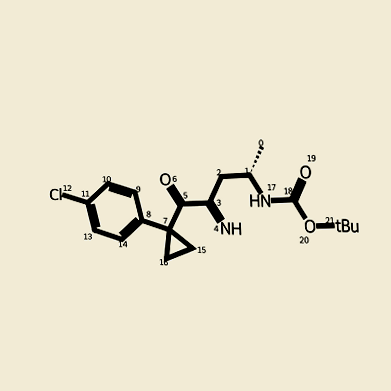 C[C@@H](CC(=N)C(=O)C1(c2ccc(Cl)cc2)CC1)NC(=O)OC(C)(C)C